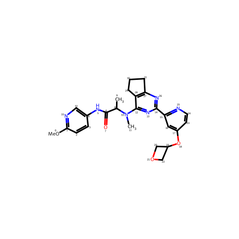 COc1ccc(NC(=O)C(C)N(C)c2nc(-c3cc(OC4COC4)ccn3)nc3c2CCC3)cn1